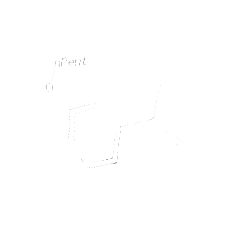 C=C(C)c1cccc(OCCCCC)c1